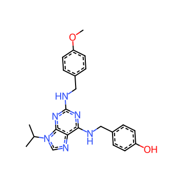 COc1ccc(CNc2nc(NCc3ccc(O)cc3)c3ncn(C(C)C)c3n2)cc1